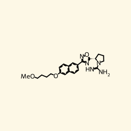 COCCCCOc1ccc2cc(-c3noc([C@@H]4CCCN4C(=N)N)n3)ccc2c1